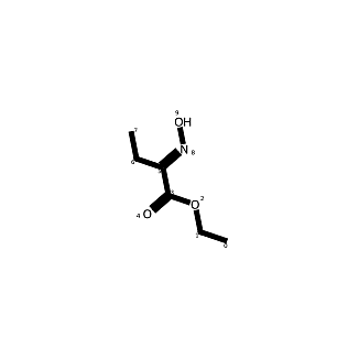 CCOC(=O)C(CC)=NO